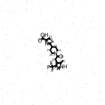 Cc1[nH]nc(C(F)(F)F)c1CC(=O)N1CCC(c2nc(C(=O)O)cs2)CC1